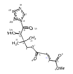 COC(=O)/C=C/C(=O)OCC(C)(C)[C@@H](O)C(=O)n1cnnn1